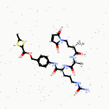 CC1SC(C(=O)OCc2ccc(NC(=O)[C@H](CCCNC(N)=O)NC(=O)[C@@H](NC(=O)[C@H](CCN3C(=O)C=CC3=O)S(=O)(=O)O)C(C)C)cc2)S1